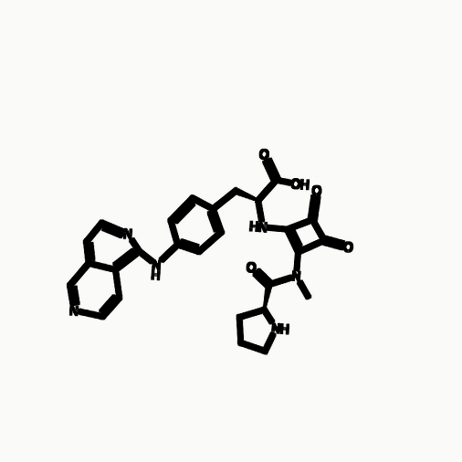 CN(C(=O)[C@@H]1CCCN1)c1c(N[C@@H](Cc2ccc(Nc3nccc4cnccc34)cc2)C(=O)O)c(=O)c1=O